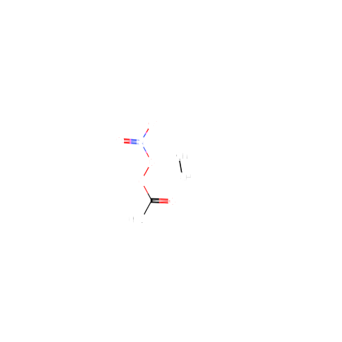 CC.CC(=O)OO[N+](=O)[O-]